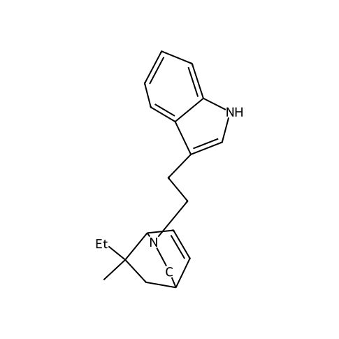 CCC1(C)CC2C=CC1N(CCc1c[nH]c3ccccc13)C2